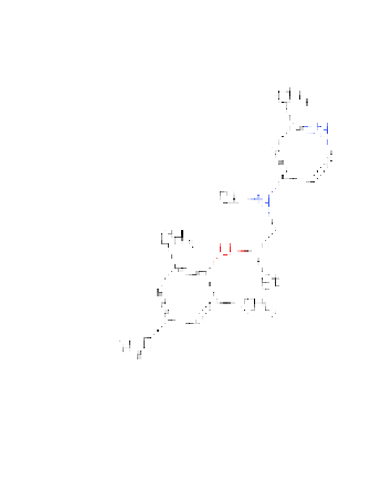 CCC(CN(CC)c1ccnc(C)c1)Oc1c(C)cc(C)cc1C